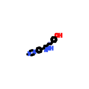 CN1CCN(c2ccc(-c3cc(/C=C/c4ccc(O)cc4)[nH]n3)cc2)CC1